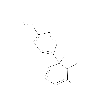 COc1ccc(C2(C(=O)O)C=CC=C(C(=O)O)C2C)cc1